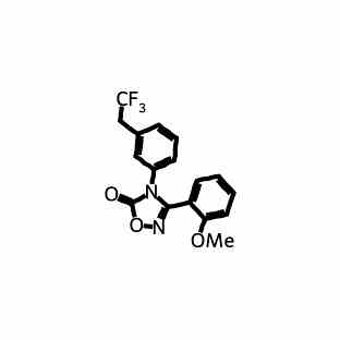 COc1ccccc1-c1noc(=O)n1-c1cccc(CC(F)(F)F)c1